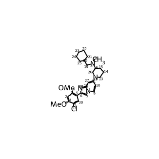 COc1cc(OC)c(-c2cn3ccc(N4CCC[C@H](N(C)CC5CCCCC5)C4)cc3n2)cc1Cl